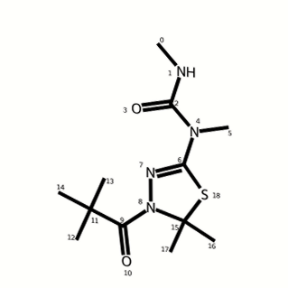 CNC(=O)N(C)C1=NN(C(=O)C(C)(C)C)C(C)(C)S1